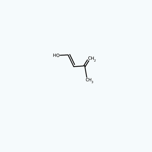 C=C(C)/C=C/O